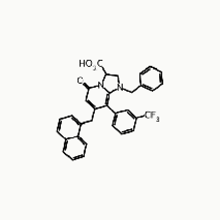 O=C(O)C1CN(Cc2ccccc2)c2c(-c3cccc(C(F)(F)F)c3)c(Cc3cccc4ccccc34)cc(=O)n21